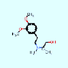 COc1ccc(CCN(C)[C@@H](C)CO)cc1OC